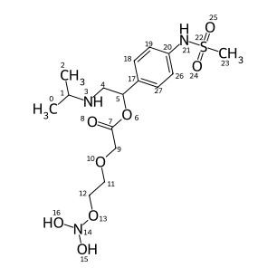 CC(C)NCC(OC(=O)COCCON(O)O)c1ccc(NS(C)(=O)=O)cc1